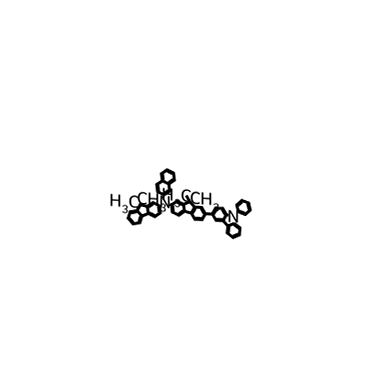 CC1(C)c2ccccc2-c2ccc(N(c3ccc4c(c3)C(C)(C)c3cc(-c5ccc6c(c5)c5ccccc5n6-c5ccccc5)ccc3-4)c3ccc4ccccc4c3)cc21